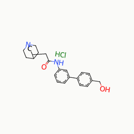 Cl.O=C(CC1CN2CCC1CC2)Nc1cccc(-c2ccc(CO)cc2)c1